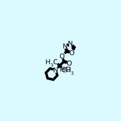 CC(C)(C(=O)Oc1nnco1)N1CCCCC1.Cl